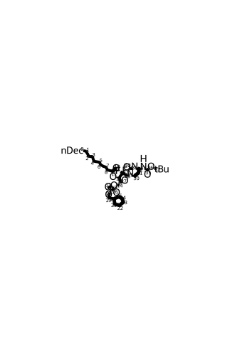 CCCCCCCCCCCCCCCCCCC(=O)O[C@@H]1[C@@H](COP2(=O)OCc3ccccc3O2)O[C@@H](n2ccc(NC(=O)OC(C)(C)C)nc2=O)C1(F)F